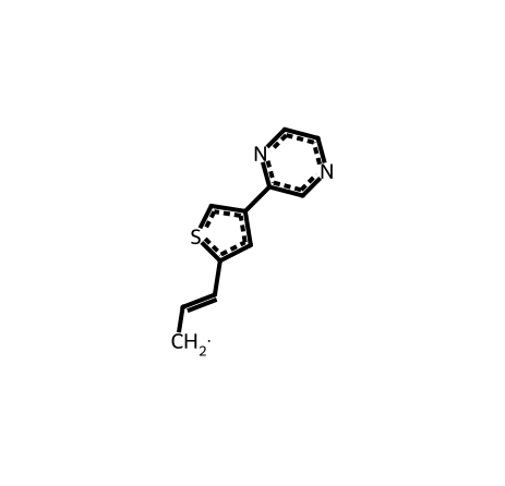 [CH2]/C=C/c1cc(-c2cnccn2)cs1